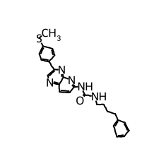 CSc1ccc(-c2cnc3ccc(NC(=O)NCCCCc4ccccc4)nc3n2)cc1